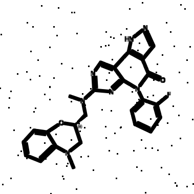 CN(C[C@H]1CN(C)c2ccccc2O1)c1ncc2c3[nH]ncc3c(=O)n(-c3ccccc3F)c2n1